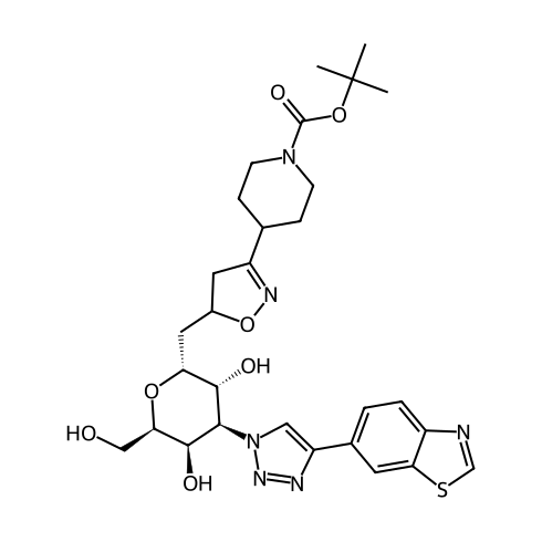 CC(C)(C)OC(=O)N1CCC(C2=NOC(C[C@H]3O[C@H](CO)[C@H](O)[C@H](n4cc(-c5ccc6ncsc6c5)nn4)[C@H]3O)C2)CC1